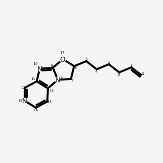 C=CCCCCC1Cn2c(nc3cnccc32)O1